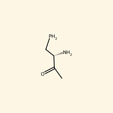 CC(=O)[C@@H](N)CP